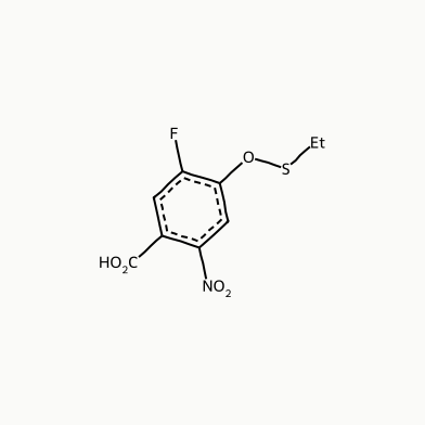 CCSOc1cc([N+](=O)[O-])c(C(=O)O)cc1F